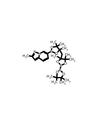 Cc1cc2ccc(B3OC(C)(C)C(C)(CC4(C)OB(B5OC(C)(C)C(C)(C)O5)OC4(C)C)O3)cn2n1